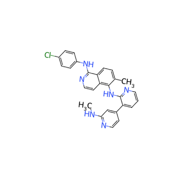 CNc1cc(-c2cccnc2Nc2c(C)ccc3c(Nc4ccc(Cl)cc4)nccc23)ccn1